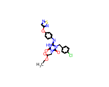 CCOC(=O)Cn1c(=O)[nH]/c(=N\c2ccc(Oc3cnsn3)cc2)n(Cc2ccc(Cl)cc2)c1=O